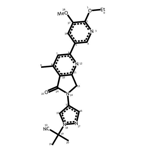 CCOc1ncc(-c2cc(C)c3c(n2)CN(c2cnn(C(C)(C)C#N)c2)C3=O)cc1OC